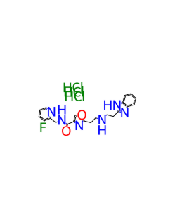 Cl.Cl.Cl.O=C(NCc1ncccc1F)c1coc(CCNCCc2nc3ccccc3[nH]2)n1